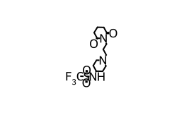 O=C1CCCC(=O)N1CCCN1CCC(NS(=O)(=O)C(F)(F)F)CC1